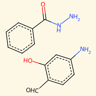 NNC(=O)c1ccccc1.Nc1ccc(C=O)c(O)c1